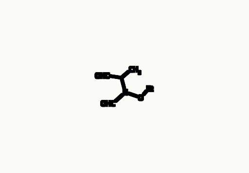 CCON(C=O)C(C)C=O